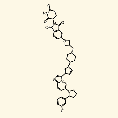 O=C1CCC(N2C(=O)c3ccc(N4CC(CN5CCC(n6ccc(-c7cnc8ccc(N9CCCC9c9cccc(F)c9)nn78)c6)CC5)C4)cc3C2=O)C(=O)N1